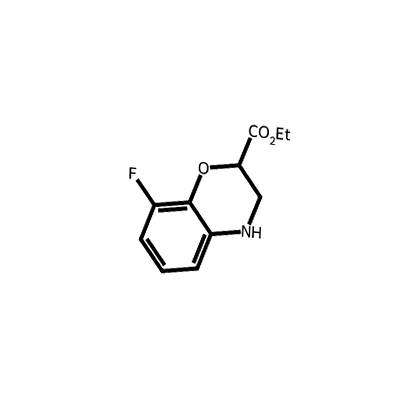 CCOC(=O)C1CNc2cccc(F)c2O1